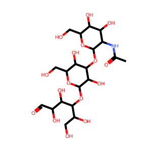 CC(=O)NC1C(OC2C(O)C(CO)OC(OC(C(O)CO)C(O)C(O)C=O)C2O)OC(CO)C(O)C1O